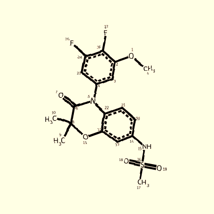 COc1cc(N2C(=O)C(C)(C)Oc3cc(NS(C)(=O)=O)ccc32)cc(F)c1F